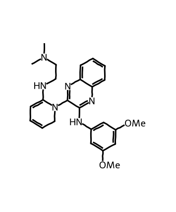 COc1cc(Nc2nc3ccccc3nc2N2CC=CC=C2NCCN(C)C)cc(OC)c1